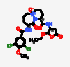 CCOC1OC(=O)C[C@@H]1NC(=O)[C@@H]1CCC[N+]2([O-])CCC[C@H](NC(=O)c3cc(Cl)c(OC)c(Cl)c3)C(=O)N12